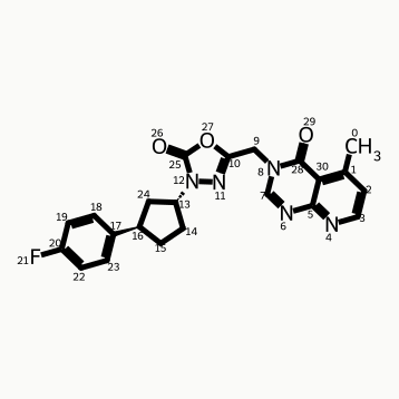 Cc1ccnc2ncn(Cc3nn([C@@H]4CC[C@@H](c5ccc(F)cc5)C4)c(=O)o3)c(=O)c12